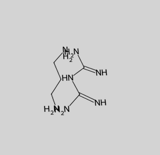 N=C(N)NC(=N)N.NCCCN